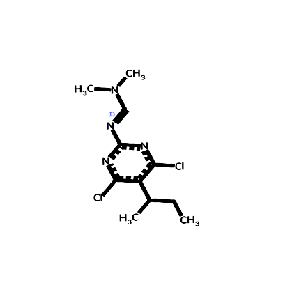 CCC(C)c1c(Cl)nc(/N=C/N(C)C)nc1Cl